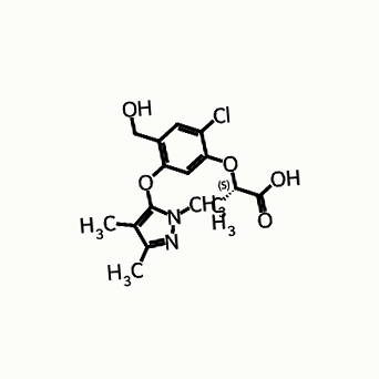 Cc1nn(C)c(Oc2cc(O[C@@H](C)C(=O)O)c(Cl)cc2CO)c1C